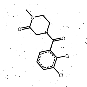 CN1CCN(C(=O)c2cccc(Cl)c2Cl)CC1=O